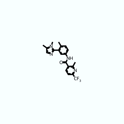 Cc1ccc(NC(=O)c2ccc(C(F)(F)F)nc2C)cc1-c1ncc(C)n1C